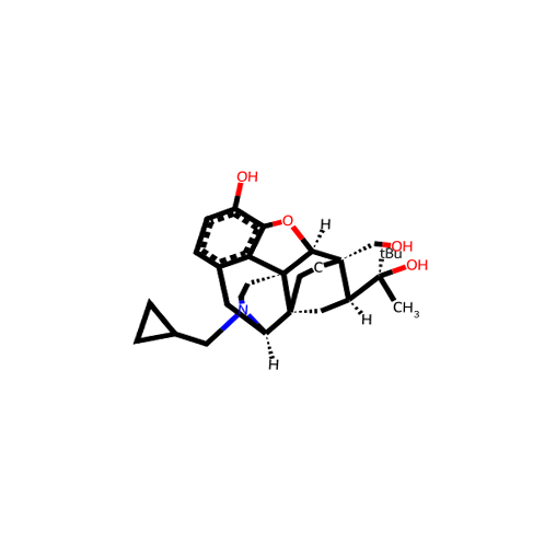 CC(C)(C)[C@@](C)(O)[C@H]1C[C@@]23CC[C@@]1(CO)[C@@H]1Oc4c(O)ccc5c4[C@@]12CCN(CC1CC1)[C@@H]3C5